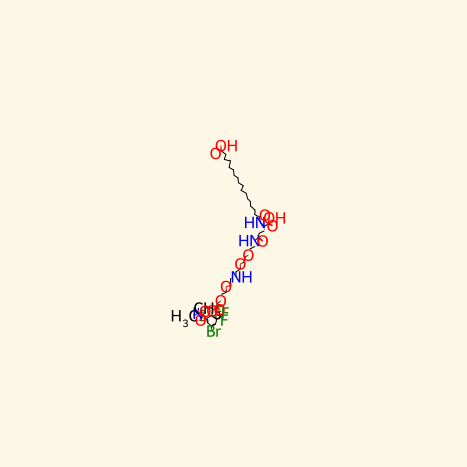 CN(C)S(=O)(=O)c1cc(Br)cc(C(F)(F)F)c1OC(=O)COCCOCCNCCOCCOCCNC(=O)CC[C@H](NC(=O)CCCCCCCCCCCCCCCCC(=O)O)C(=O)O